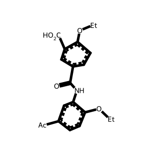 CCOc1ccc(C(C)=O)cc1NC(=O)c1ccc(OCC)c(C(=O)O)c1